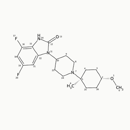 CO[C@H]1CC[C@](C)(N2CCC(n3c(=O)[nH]c4c(F)cc(F)cc43)CC2)CC1